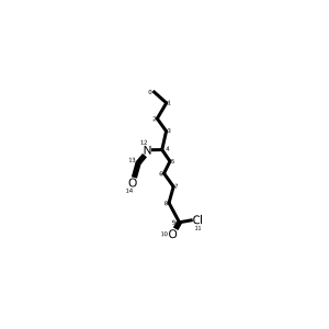 CCCCC(CCCCC(=O)Cl)N=C=O